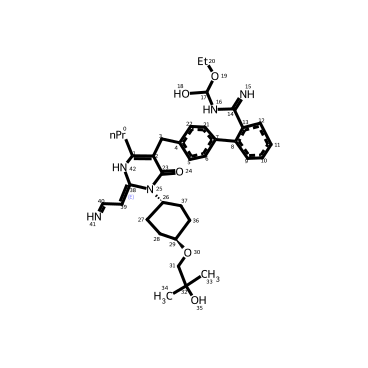 CCCC1=C(Cc2ccc(-c3ccccc3C(=N)NC(O)OCC)cc2)C(=O)N([C@H]2CC[C@H](OCC(C)(C)O)CC2)/C(=C/C=N)N1